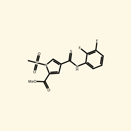 COC(=O)c1cc(C(=S)Nc2cccc(F)c2F)cn1S(C)(=O)=O